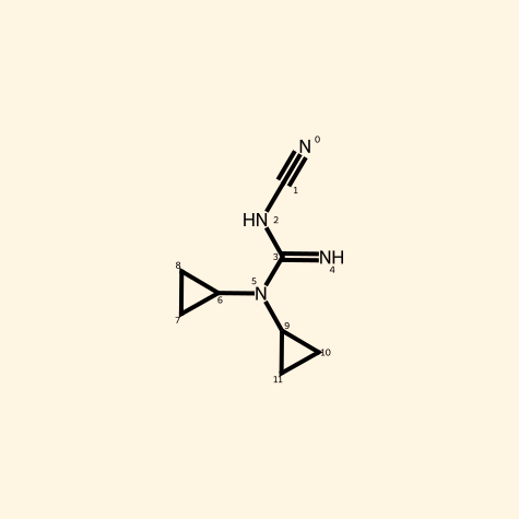 N#CNC(=N)N(C1CC1)C1CC1